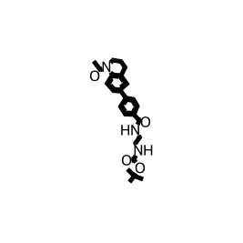 CC(=O)N1CCCc2cc(-c3ccc(C(=O)NCCNC(=O)OC(C)(C)C)cc3)ccc21